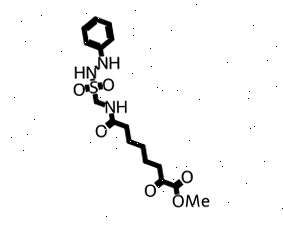 COC(=O)C(=O)CCCCCC(=O)NCS(=O)(=O)NNc1ccccc1